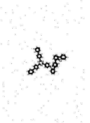 c1ccc(-c2ccc(-c3nc(-c4ccc(-c5ccccc5)cc4)nc(-c4ccc(-n5c6ccccc6c6ccc(-c7cccc8c7oc7ccccc78)cc65)cc4)n3)cc2)cc1